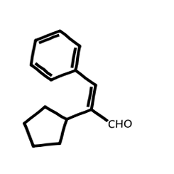 O=C/C(=C/c1ccccc1)C1CCCC1